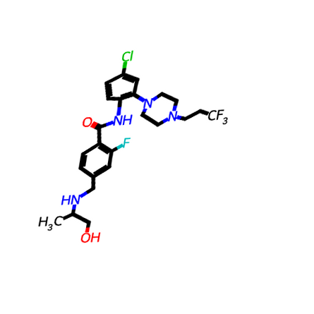 CC(CO)NCc1ccc(C(=O)Nc2ccc(Cl)cc2N2CCN(CCC(F)(F)F)CC2)c(F)c1